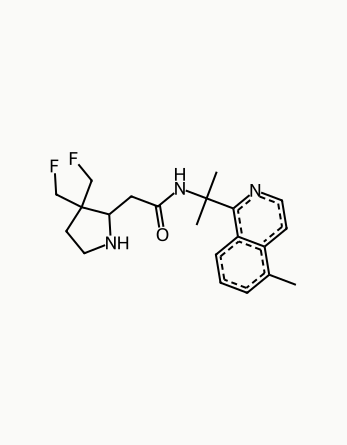 Cc1cccc2c(C(C)(C)NC(=O)CC3NCCC3(CF)CF)nccc12